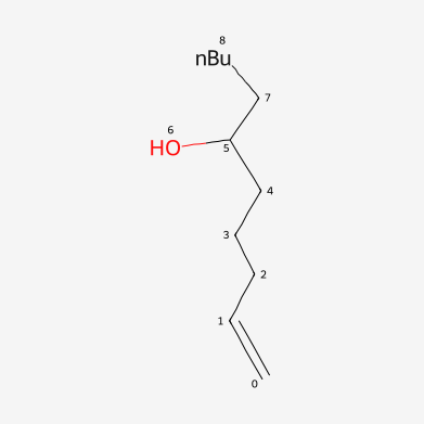 C=CCCCC(O)CCCCC